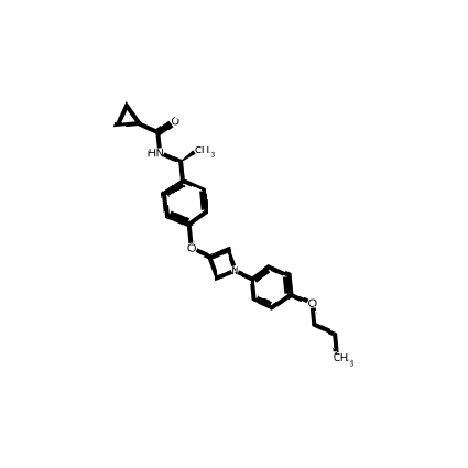 CCCOc1ccc(N2CC(Oc3ccc([C@H](C)NC(=O)C4CC4)cc3)C2)cc1